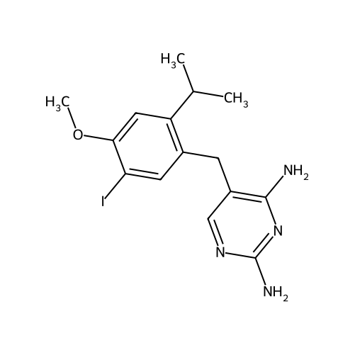 COc1cc(C(C)C)c(Cc2cnc(N)nc2N)cc1I